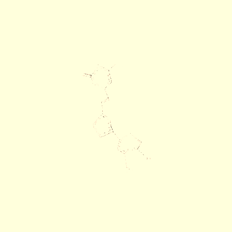 Cc1cc(-c2ccc(C=Cc3cc(C(F)(F)F)[nH]c(=O)n3)o2)ccc1[N+](=O)[O-]